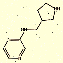 c1cnc(NCC2CCNC2)cn1